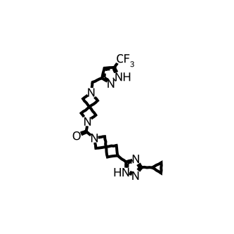 O=C(N1CC2(CC(c3nc(C4CC4)n[nH]3)C2)C1)N1CC2(CN(Cc3cc(C(F)(F)F)[nH]n3)C2)C1